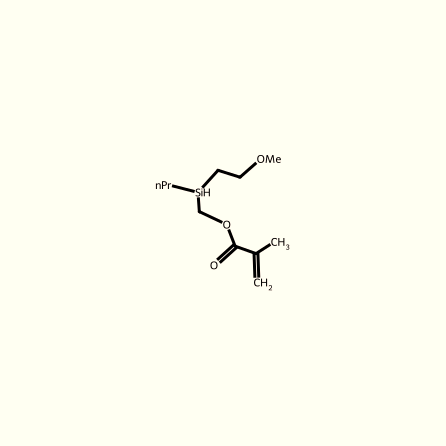 C=C(C)C(=O)OC[SiH](CCC)CCOC